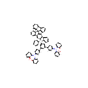 c1ccc(C2(c3ccc([Si](c4ccccc4)(c4ccccc4)c4cc(-c5ccc(N6c7ccccc7Oc7ccccc76)cc5)cc(-c5ccc(N6c7ccccc7Oc7ccccc76)cc5)c4)cc3)c3ccccc3-c3ccccc32)cc1